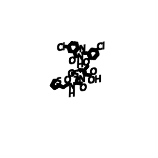 O=C(Cc1cccs1)NC1C(=O)N2C(C(=O)O)=C(COc3ccc(Cl)cc3-c3nc4ccc(Cl)cc4c(=O)[nH]3)C[S+]([O-])C12